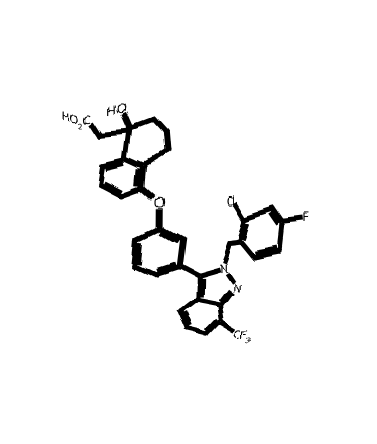 O=C(O)CC1(O)CCCc2c(Oc3cccc(-c4c5cccc(C(F)(F)F)c5nn4Cc4ccc(F)cc4Cl)c3)cccc21